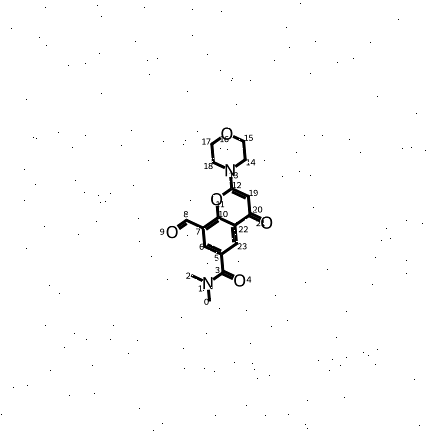 CN(C)C(=O)c1cc(C=O)c2oc(N3CCOCC3)cc(=O)c2c1